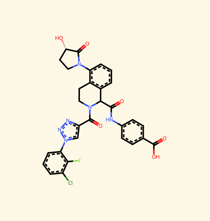 O=C(O)c1ccc(NC(=O)C2c3cccc(N4CC[C@H](O)C4=O)c3CCN2C(=O)c2cn(-c3cccc(Cl)c3F)nn2)cc1